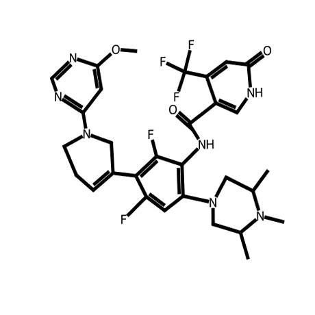 COc1cc(N2CCC=C(c3c(F)cc(N4CC(C)N(C)C(C)C4)c(NC(=O)c4c[nH]c(=O)cc4C(F)(F)F)c3F)C2)ncn1